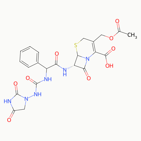 CC(=O)OCC1=C(C(=O)O)N2C(=O)[C@H](NC(=O)C(NC(=O)NN3CC(=O)NC3=O)c3ccccc3)C2SC1